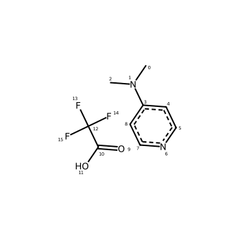 CN(C)c1ccncc1.O=C(O)C(F)(F)F